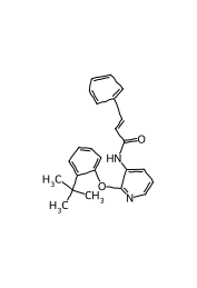 CC(C)(C)c1ccccc1Oc1ncccc1NC(=O)/C=C/c1ccccc1